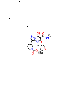 CC(C)(C)OC(=O)N1CCC=C(c2cnn3c(O)c(C(=O)NC4CC4)c(=O)n(CC4CCOCC4)c23)C1